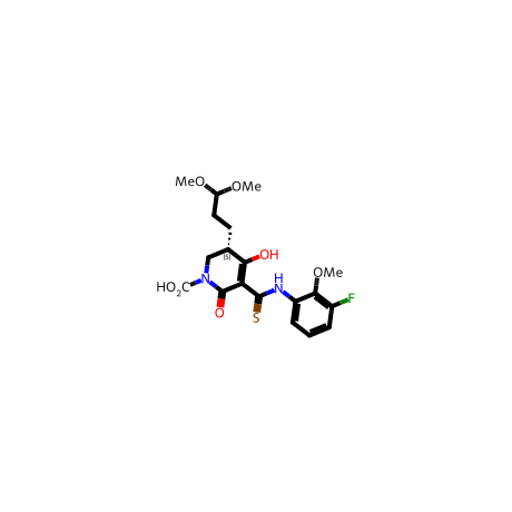 COc1c(F)cccc1NC(=S)C1=C(O)[C@@H](CCC(OC)OC)CN(C(=O)O)C1=O